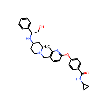 Cc1nc(Oc2ccc(C(=O)NC3CC3)cc2)ccc1CN1CCC(N[C@@H](CO)c2ccccc2)CC1